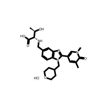 Cc1cc(-c2nc3cc(CN[C@H](C(=O)O)[C@@H](C)O)ccc3n2CC2CCOCC2)cn(C)c1=O.Cl